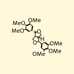 COc1cc(C2OCC3[C@H]2CO[C@H]3c2cc(OC)c(OC)c(OC)c2)cc(OC)c1OC